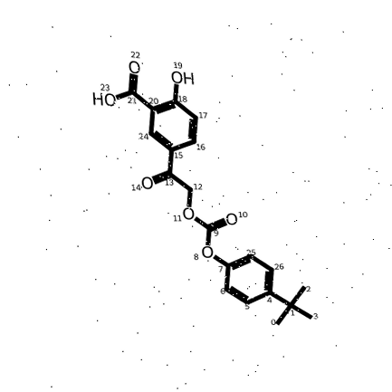 CC(C)(C)c1ccc(OC(=O)OCC(=O)c2ccc(O)c(C(=O)O)c2)cc1